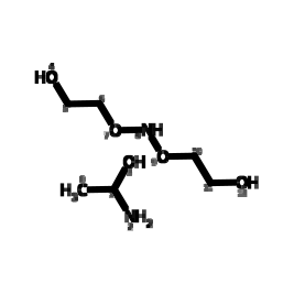 CC(N)O.OCCONOCCO